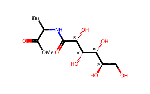 CCC(C)C(NC(=O)[C@H](O)[C@@H](O)[C@H](O)[C@H](O)CO)C(=O)OC